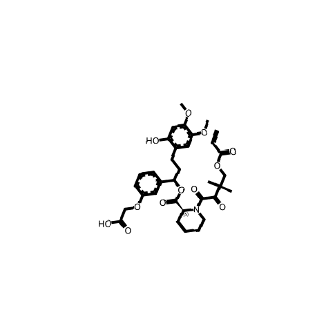 C=CC(=O)OCC(C)(C)C(=O)C(=O)N1CCCC[C@H]1C(=O)OC(CCc1cc(OC)c(OC)cc1O)c1cccc(OCC(=O)O)c1